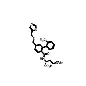 CSCC[C@H](NC(=O)c1ccc(COCc2cncs2)cc1-c1ccccc1C)C(=O)O